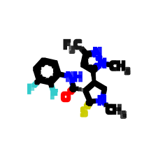 CN1C[C@H](c2cc(C(F)(F)F)nn2C)[C@@H](C(=O)Nc2cccc(F)c2F)C1=S